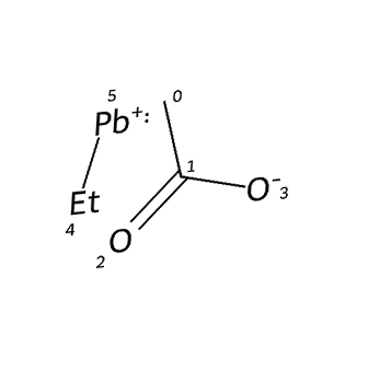 CC(=O)[O-].C[CH2][Pb+]